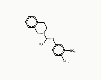 CC(Oc1ccc(N)c([N+](=O)[O-])c1)N1CCc2ccccc2C1